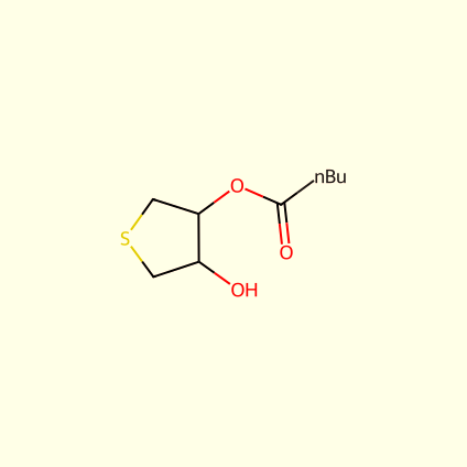 CCCCC(=O)OC1CSCC1O